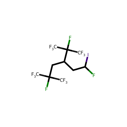 FC(I)CC(CC(F)(C(F)(F)F)C(F)(F)F)C(F)(C(F)(F)F)C(F)(F)F